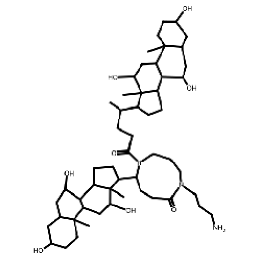 CC(CCC(=O)N1CCCN(CCCN)C(=O)CCC1C1CCC2C3C(O)CC4CC(O)CCC4(C)C3CC(O)C21C)C1CCC2C3C(O)CC4CC(O)CCC4(C)C3CC(O)C12C